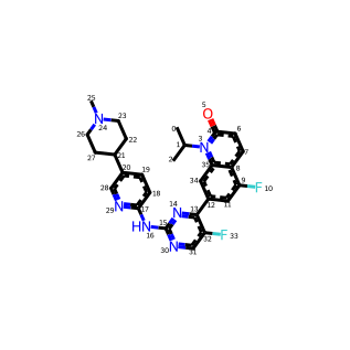 CC(C)n1c(=O)ccc2c(F)cc(-c3nc(Nc4ccc(C5CCN(C)CC5)cn4)ncc3F)cc21